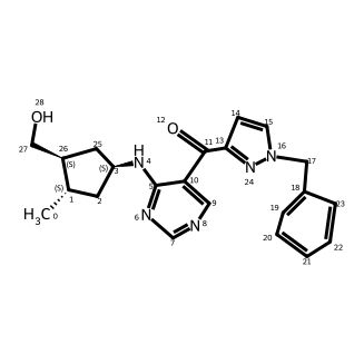 C[C@H]1C[C@H](Nc2ncncc2C(=O)c2ccn(Cc3ccccc3)n2)C[C@@H]1CO